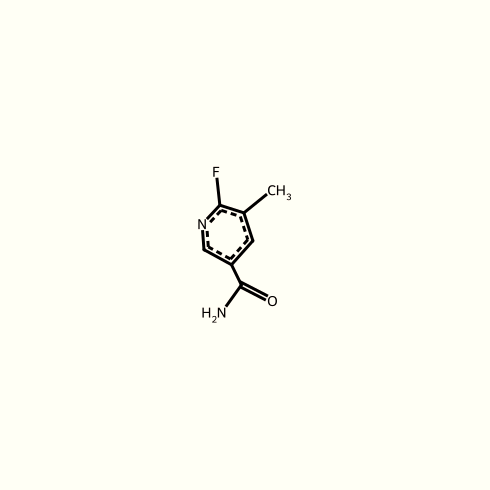 Cc1cc(C(N)=O)cnc1F